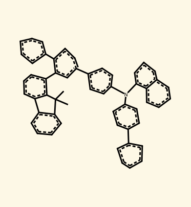 CC1(C)c2ccccc2-c2cccc(-c3cc(-c4ccc(N(c5ccc(-c6ccccc6)cc5)c5cccc6ccccc56)cc4)ccc3-c3ccccc3)c21